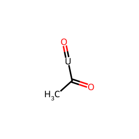 C[C](=O)[U]=[O]